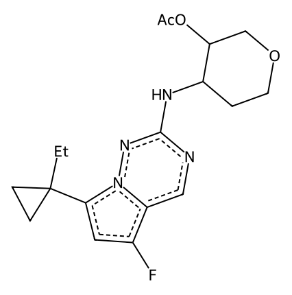 CCC1(c2cc(F)c3cnc(NC4CCOCC4OC(C)=O)nn23)CC1